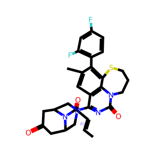 C/C=C/C(=O)N1C2CC(=O)CC1CN(c1nc(=O)n3c4c(c(-c5ccc(F)cc5F)c(C)cc14)SCCC3)C2